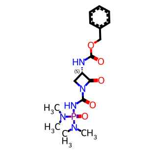 CN(C)P(=O)(NC(=O)N1C[C@H](NC(=O)OCc2ccccc2)C1=O)N(C)C